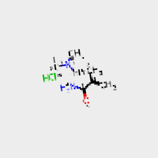 C=C(C)C(N)=O.CCCN(C)C.Cl